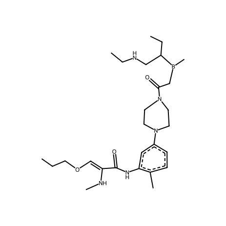 CCCO/C=C(\NC)C(=O)Nc1cc(N2CCN(C(=O)CB(C)C(CC)CNCC)CC2)ccc1C